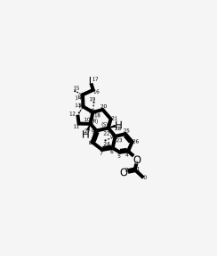 CC(=O)OC1=CC2=CC=C3[C@@H]4CC[C@H]([C@H](C)CI)[C@@]4(C)CC[C@@H]3[C@@]2(C)C=C1